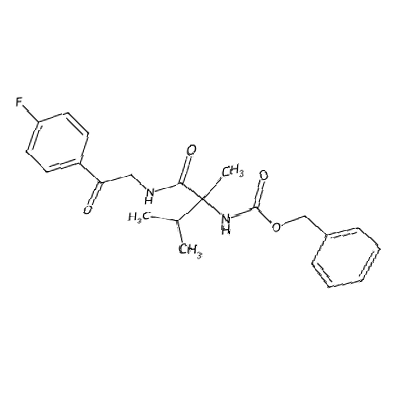 CC(C)C(C)(NC(=O)OCc1ccccc1)C(=O)NCC(=O)c1ccc(F)cc1